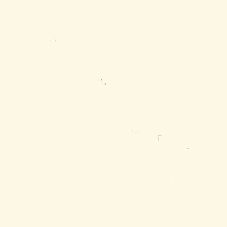 O=C1CCN(CCOc2ccccc2C(F)(F)F)CC1